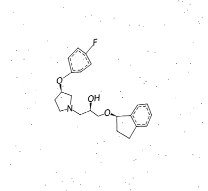 O[C@@H](CO[C@@H]1CCc2ccccc21)CN1CC[C@@H](Oc2ccc(F)cc2)C1